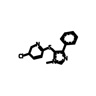 Cn1cnc(-c2ccccc2)c1SC1=NCC(Cl)C=C1